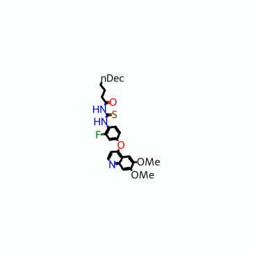 CCCCCCCCCCCCCC(=O)NC(=S)Nc1ccc(Oc2ccnc3cc(OC)c(OC)cc23)cc1F